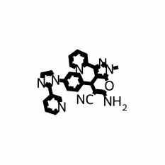 Cn1nc(-c2ccccn2)c2c1OC(N)=C(C#N)C2c1ccc(-n2ccnc2-c2cccnc2)cc1